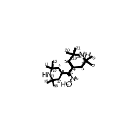 CC1(C)CC(C(=NO)C2CC(C)(C)NC(C)(C)C2)CC(C)(C)N1